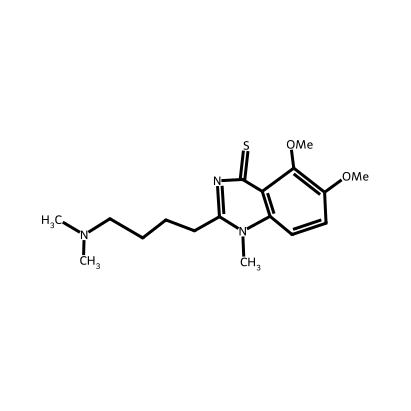 COc1ccc2c(c1OC)c(=S)nc(CCCCN(C)C)n2C